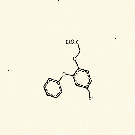 CCOC(=O)COc1ccc(Br)cc1Oc1ccccc1